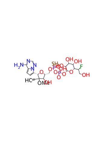 C#C[C@@]1(OC)[C@H](O)[C@@H](COP(=O)(S)OP(=O)(O)OC2OC([C@@H](F)CO)C(O)C(O)C2O)O[C@H]1c1ccc2c(N)ncnn12